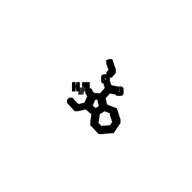 CCOC(=O)c1c2cccccc-2c(CC)c1N